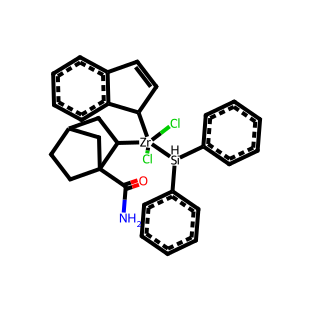 NC(=O)C12CCC(C[CH]1[Zr]([Cl])([Cl])([CH]1C=Cc3ccccc31)[SiH](c1ccccc1)c1ccccc1)C2